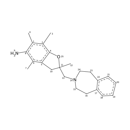 Cc1c(C)c2c(c(C)c1N)CC(C)(CN1CCc3ccccc3CC1)O2